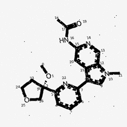 CO[C@@]1(c2cccc(-c3cn(C)c4cnc(NC(C)=O)cc34)n2)CCOC1